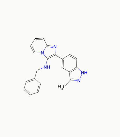 Cc1n[nH]c2ccc(-c3nc4ccccn4c3NCc3ccccc3)cc12